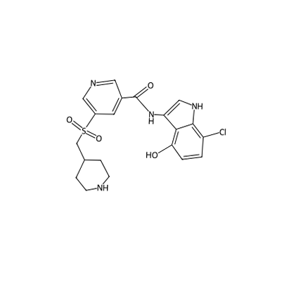 O=C(Nc1c[nH]c2c(Cl)ccc(O)c12)c1cncc(S(=O)(=O)CC2CCNCC2)c1